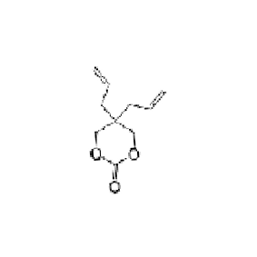 C=CCC1(CC=C)COC(=O)OC1